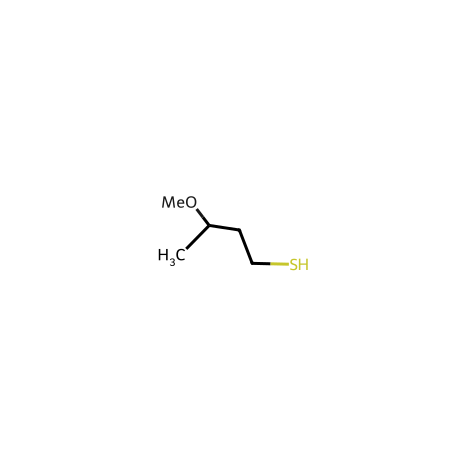 COC(C)CCS